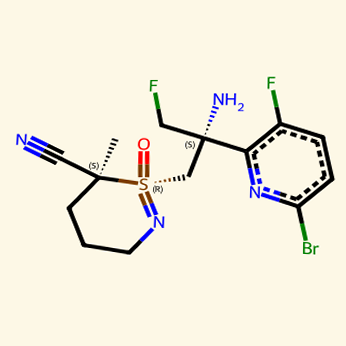 C[C@@]1(C#N)CCCN=[S@@]1(=O)C[C@@](N)(CF)c1nc(Br)ccc1F